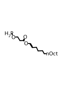 CCCCCCCCCCCCC=COC(=O)CCOP